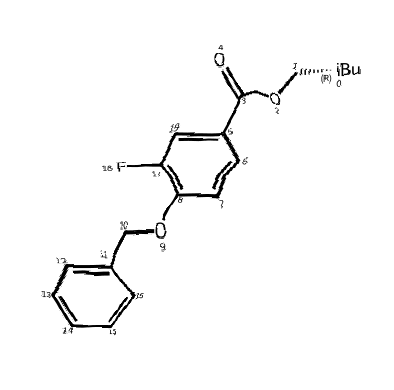 CC[C@@H](C)COC(=O)c1ccc(OCc2ccccc2)c(F)c1